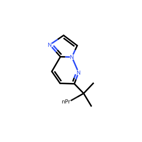 CCCC(C)(C)c1ccc2nccn2n1